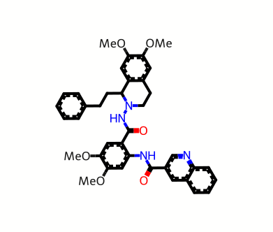 COc1cc2c(cc1OC)C(CCc1ccccc1)N(NC(=O)c1cc(OC)c(OC)cc1NC(=O)c1cnc3ccccc3c1)CC2